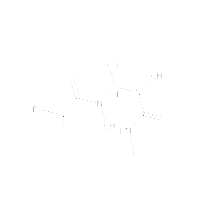 CCNC(=O)N(C)[SiH](C)N(C)C(=O)NCC